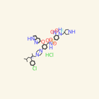 C/C(CN1CCN(c2ccc(C(=O)NS(=O)(=O)c3ccc(NCC4(F)CCNCC4)c([N+](=O)[O-])c3)c(Oc3cnc4[nH]ccc4c3)c2)CC1)=C(\CC(C)C)c1ccc(Cl)cc1.Cl